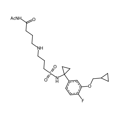 CC(=O)NC(=O)CCCNCCCS(=O)(=O)NC1(c2ccc(F)c(OCC3CC3)c2)CC1